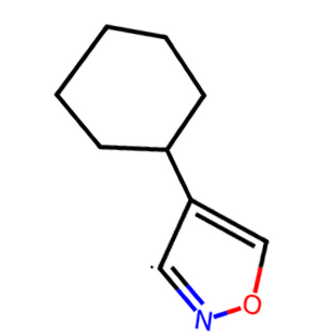 [c]1nocc1C1CCCCC1